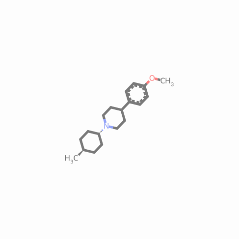 COc1ccc(C2CCN([C@H]3CC[C@H](C)CC3)CC2)cc1